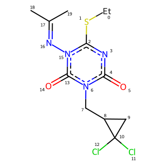 CCSc1nc(=O)n(CC2CC2(Cl)Cl)c(=O)n1N=C(C)C